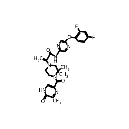 C=C(C(=O)Nc1cnc(Oc2ccc(F)cc2F)cn1)N1CCN(C(=O)c2c[nH]c(=O)c(C(F)(F)F)n2)C(C)(C)C1